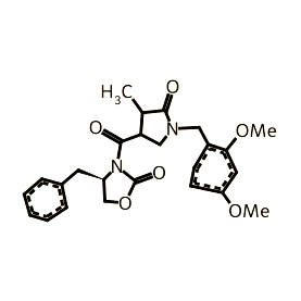 COc1ccc(CN2CC(C(=O)N3C(=O)OC[C@H]3Cc3ccccc3)C(C)C2=O)c(OC)c1